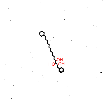 OC(CCCCCCCCCCCCC1CCCCC1)C(O)C(O)Cc1ccccc1